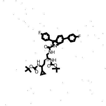 CC(C)(C)OC(=O)NC(CC[C@@H](CNC(=O)c1[nH]c2cc(-c3ccc(F)cc3)ccc2c1-c1ccc(F)cc1)NC(=O)OC(C)(C)C)C1CC1